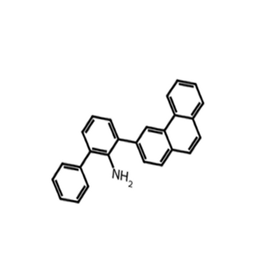 Nc1c(-c2ccccc2)cccc1-c1ccc2ccc3ccccc3c2c1